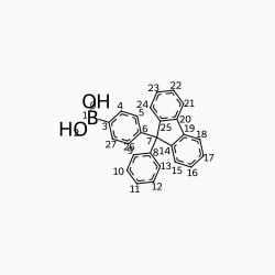 OB(O)c1ccc(C2(c3ccccc3)c3ccccc3-c3ccccc32)cc1